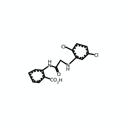 O=C(CNc1cc(Cl)ccc1Cl)Nc1ccccc1C(=O)O